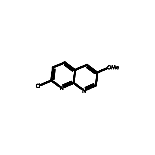 COc1cnc2nc(Cl)ccc2c1